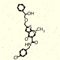 Cn1cc(C(=O)NCc2ccc(Cl)cc2)c(=O)c2cc(COCC(O)c3ccccc3)sc21